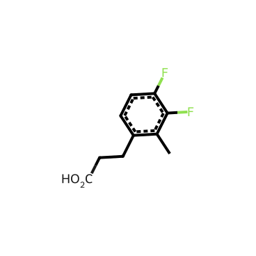 Cc1c(CCC(=O)O)ccc(F)c1F